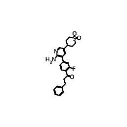 Nc1ncc(C2CCS(=O)(=O)CC2)cc1-c1ccc(C(=O)CCc2ccccc2)c(F)c1